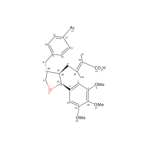 COc1cc([C@H]2OC[C@H](Cc3ccc(C(C)=O)cc3)[C@H]2CC(C)=C(C)C(=O)O)cc(OC)c1OC